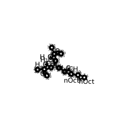 CCCCCCCCC1(CCCCCCCC)c2ccccc2-c2ccc(-c3ccc4c(c3)C(C)(C)c3cc(-c5ccc(N(c6ccc7c(c6)C(C)(C)c6cc(-c8ccccc8)c8oc9ccccc9c8c6-7)c6ccc7c(c6)C(C)(C)c6cc(-c8ccccc8)c8oc9ccccc9c8c6-7)cc5)ccc3-4)cc21